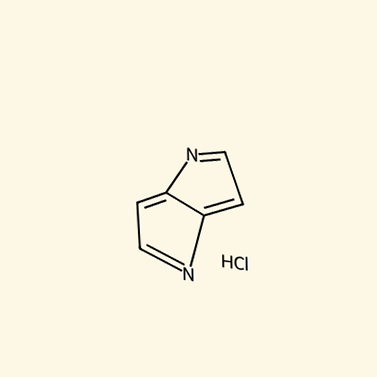 C1=NC2=CC=NC2=C1.Cl